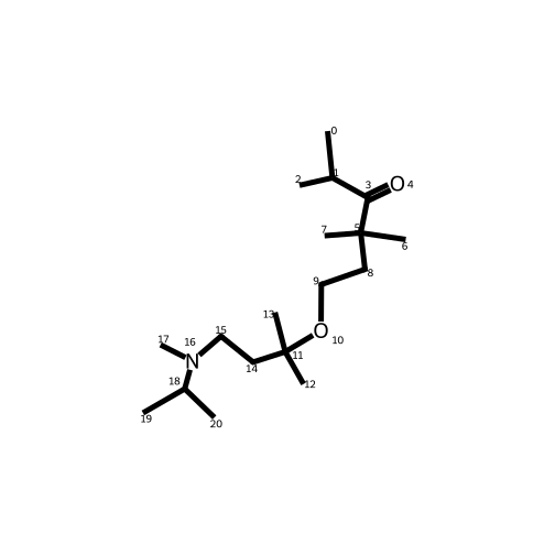 CC(C)C(=O)C(C)(C)CCOC(C)(C)CCN(C)C(C)C